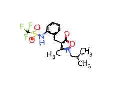 Cc1c(Cc2ccccc2NS(=O)(=O)C(F)(F)F)c(=O)on1CC(C)C